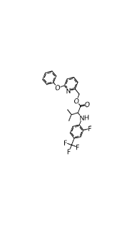 CC(C)C(Nc1ccc(C(F)(F)F)cc1F)C(=O)OCc1cccc(Oc2ccccc2)n1